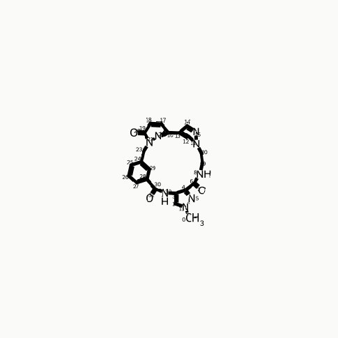 Cn1cc2c(n1)C(=O)NCCn1cc(cn1)-c1ccc(=O)n(n1)Cc1cccc(c1)C(=O)N2